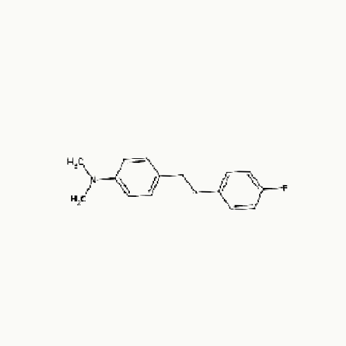 CN(C)c1ccc(C[CH]c2ccc(F)cc2)cc1